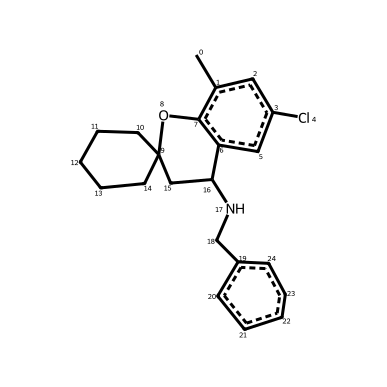 Cc1cc(Cl)cc2c1OC1(CCCCC1)CC2NCc1ccccc1